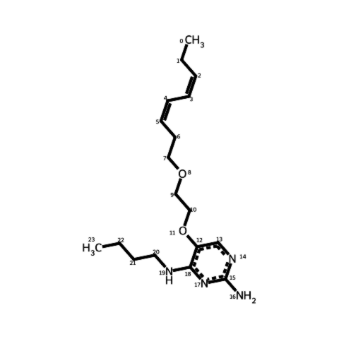 CC/C=C\C=C/CCOCCOc1cnc(N)nc1NCCCC